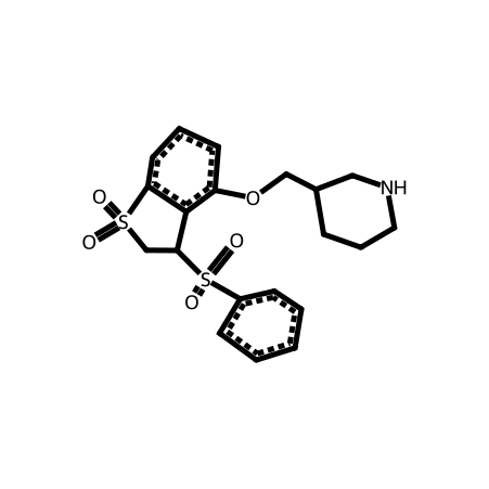 O=S1(=O)CC(S(=O)(=O)c2ccccc2)c2c(OCC3CCCNC3)cccc21